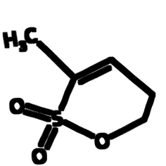 CC1=CCCOS1(=O)=O